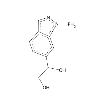 OCC(O)c1ccc2cnn(P)c2c1